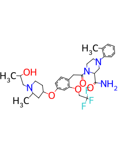 Cc1ccccc1N1CCN(C(=O)Cc2ccc(OC3CCN(CC(C)O)C(C)C3)cc2OCC(F)(F)F)C(C(N)=O)C1